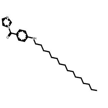 CCCCCCCCCCCCCCCCNc1ccc(C(=O)n2ccnc2)cc1